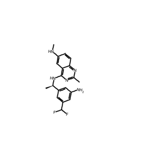 CNc1[c]cc2nc(C)nc(N[C@H](C)c3cc(N)cc(C(F)F)c3)c2c1